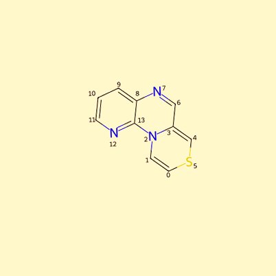 C1=CN2C(=CS1)C=Nc1cccnc12